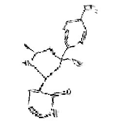 C[C@H]1CC(O)(c2ccc(C(F)(F)F)cc2)C[C@@H](c2ccc[nH]c2=O)N1